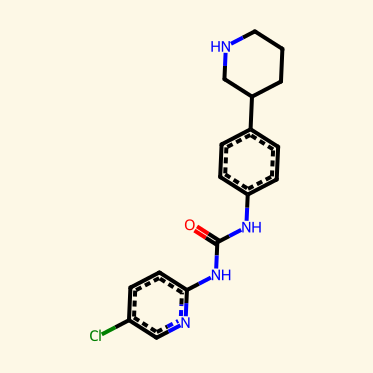 O=C(Nc1ccc(C2CCCNC2)cc1)Nc1ccc(Cl)cn1